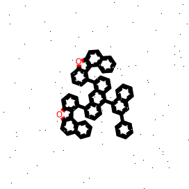 c1ccc(-c2cc(-c3c4cccc(-c5cccc6oc7ccc8ccccc8c7c56)c4cc4c(-c5cccc6oc7ccc8ccccc8c7c56)cccc34)c3ccccc3c2)cc1